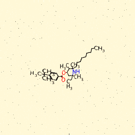 CCCCCCCCCC1(C)NC(C)(CC)CC(OC(=O)c2ccc(C(C)(C)C)cc2)C1C